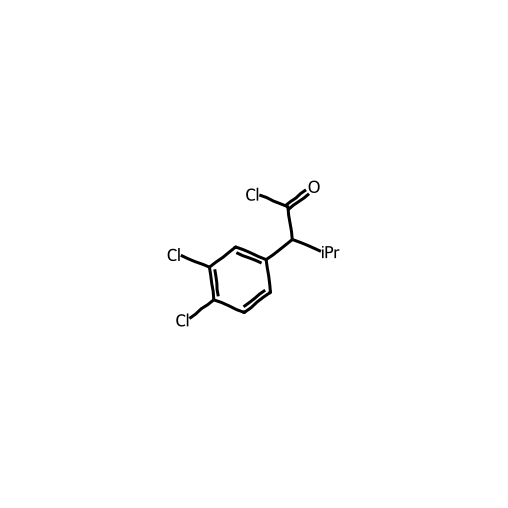 CC(C)C(C(=O)Cl)c1ccc(Cl)c(Cl)c1